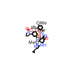 COc1ccc(CN(c2noc3cc(Nc4cc(C5CC5)n[nH]4)c(OC)cc23)S(=O)(=O)c2c(OC)cc(C3CCCN3C(=O)OC(C)(C)C)cc2OC)cc1